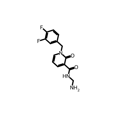 NCNC(=O)c1cccn(Cc2ccc(F)c(F)c2)c1=O